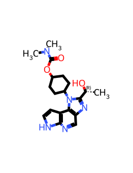 C[C@@H](O)c1nc2cnc3[nH]ccc3c2n1C1CCC(OC(=O)N(C)C)CC1